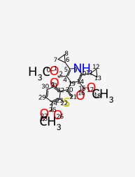 COC(=O)C1=C(C2CC2)NC(C2CC2)=C(C(=O)OC)C1c1csc2c(C(=O)OC)cccc12